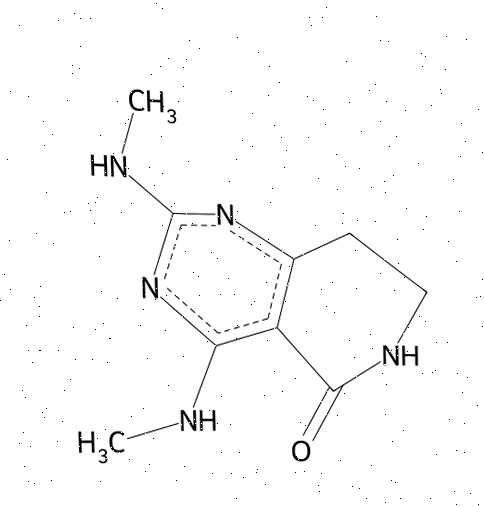 CNc1nc2c(c(NC)n1)C(=O)NCC2